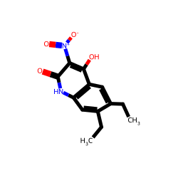 CCc1cc2[nH]c(=O)c([N+](=O)[O-])c(O)c2cc1CC